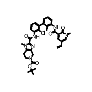 C=Cc1cc(C(=O)Nc2cccc(-c3cccc(NC(=O)c4nc5c(n4C)CCN(C(=O)OC(C)(C)C)C5)c3Cl)c2C)c(=O)n(C)c1